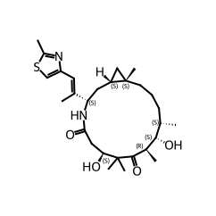 CC(=Cc1csc(C)n1)[C@@H]1C[C@@H]2C[C@]2(C)CCC[C@H](C)[C@H](O)[C@@H](C)C(=O)C(C)(C)[C@@H](O)CC(=O)N1